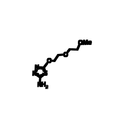 COCCOCCOc1nnc(N)s1